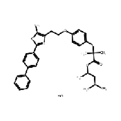 Cc1oc(-c2ccc(-c3ccccc3)cc2)nc1CCOc1ccc(OC(C)(C)C(=O)OC(C)CN(C)C)cc1.Cl